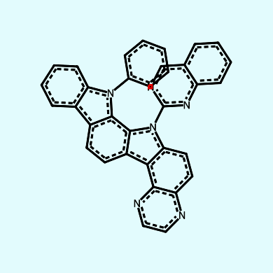 c1ccc(-n2c3ccccc3c3ccc4c5c6nccnc6ccc5n(-c5ncc6ccccc6n5)c4c32)cc1